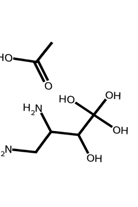 CC(=O)O.NCC(N)C(O)C(O)(O)O